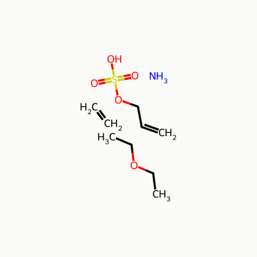 C=C.C=CCOS(=O)(=O)O.CCOCC.N